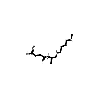 COCCCCOCC(C)NC(=O)CCC(=O)O